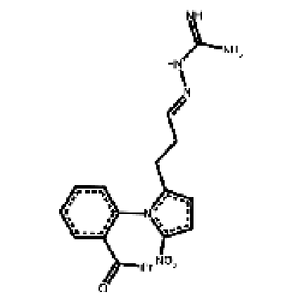 CC(C)C(=O)c1ccccc1-n1c(CCC=NNC(=N)N)ccc1[N+](=O)[O-]